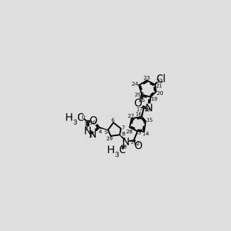 Cc1nnc([C@H]2CC[C@@H](N(C)C(=O)c3ccc(-c4nc5cc(Cl)ccc5o4)cc3)C2)o1